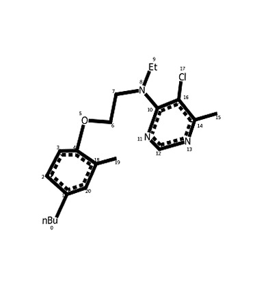 CCCCc1ccc(OCCN(CC)c2ncnc(C)c2Cl)c(C)c1